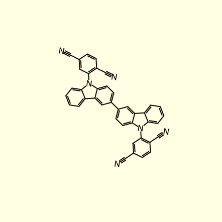 N#Cc1ccc(C#N)c(-n2c3ccccc3c3cc(-c4ccc5c(c4)c4ccccc4n5-c4cc(C#N)ccc4C#N)ccc32)c1